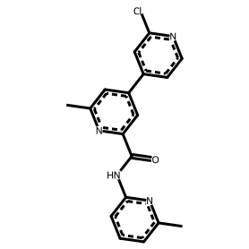 Cc1cccc(NC(=O)c2cc(-c3ccnc(Cl)c3)cc(C)n2)n1